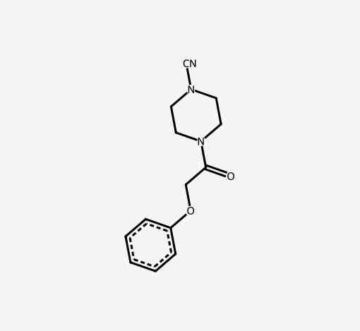 N#CN1CCN(C(=O)COc2ccccc2)CC1